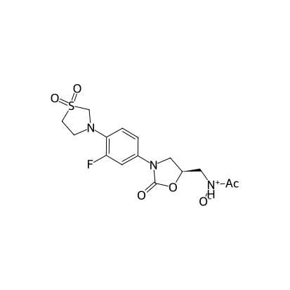 CC(=O)[NH+]([O-])C[C@@H]1CN(c2ccc(N3CCS(=O)(=O)C3)c(F)c2)C(=O)O1